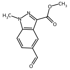 COC(=O)c1nn(C)c2ccc(C=O)cc12